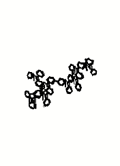 c1ccc(N(c2ccc(-c3cccc(N4c5cc(N(c6ccccc6)c6ccccc6)ccc5B5c6cc7c8ccccc8n(-c8ccccc8)c7cc6N(c6ccccc6)c6cccc4c65)c3)cc2)c2ccc3c(c2)N(c2ccccc2)c2cccc4c2B3c2ccccc2N4c2ccc3c4ccccc4n(-c4ccccc4)c3c2)cc1